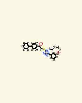 C=CCn1c(SCC(=O)c2ccc(-c3ccccc3)cc2)nnc1-c1cccc(Br)c1